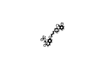 CCC(=O)OCN1C(=O)CCc2ccc(OCCCCN3CCN(c4cccc(Cl)c4Cl)CC3)cc21